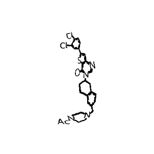 CC(=O)N1CCN(Cc2ccc3c(c2)CCC(n2cnc4cc(-c5ccc(Cl)c(Cl)c5)sc4c2=O)C3)CC1